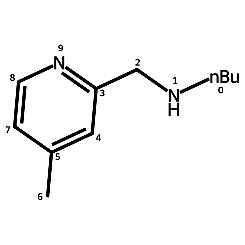 CCCCNCc1cc(C)ccn1